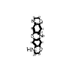 c1c2c(cc3c1Oc1cc4c(cc1=N3)OCCN=4)OCCN2